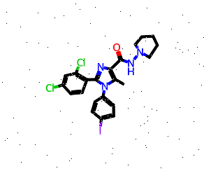 Cc1c(C(=O)NN2CCCCC2)nc(-c2ccc(Cl)cc2Cl)n1-c1ccc(I)cc1